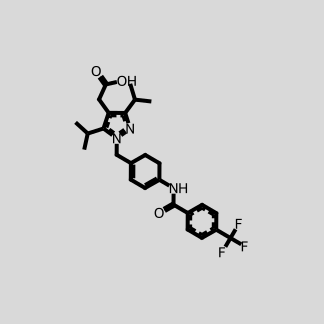 CC(C)c1nn(CC2=CC=C(NC(=O)c3ccc(C(F)(F)F)cc3)CC2)c(C(C)C)c1CC(=O)O